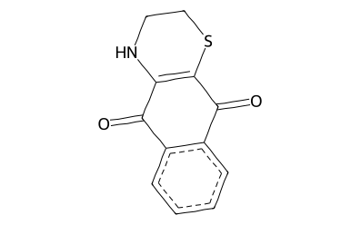 O=C1C2=C(SCCN2)C(=O)c2ccccc21